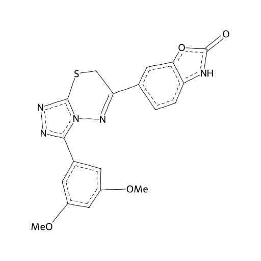 COc1cc(OC)cc(-c2nnc3n2N=C(c2ccc4[nH]c(=O)oc4c2)CS3)c1